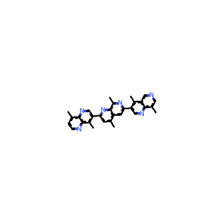 Cc1cc(-c2cnc3c(C)ccnc3c2C)nc2c(C)nc(-c3cnc4c(C)cncc4c3C)cc12